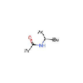 CCC(C)C(NC(=O)C(C)C)C(C)=O